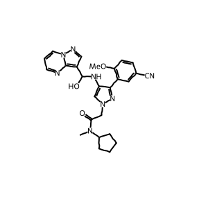 COc1ccc(C#N)cc1-c1nn(CC(=O)N(C)C2CCCC2)cc1NC(O)c1cnn2cccnc12